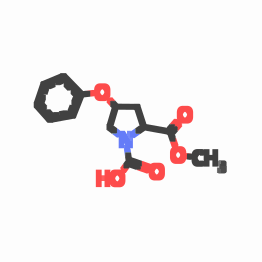 COC(=O)C1CC(Oc2ccccc2)CN1C(=O)O